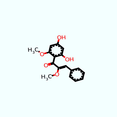 COC(=Cc1ccccc1)C(=O)c1c(O)cc(O)cc1OC